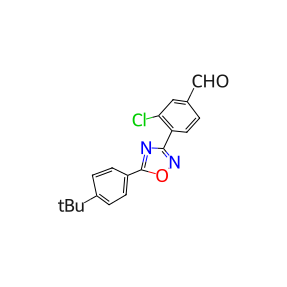 CC(C)(C)c1ccc(-c2nc(-c3ccc(C=O)cc3Cl)no2)cc1